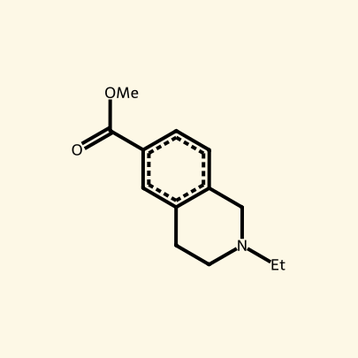 CCN1CCc2cc(C(=O)OC)ccc2C1